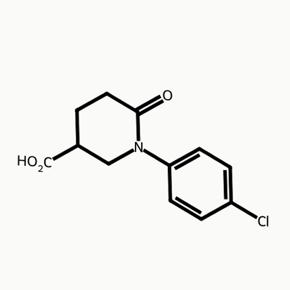 O=C(O)C1CCC(=O)N(c2ccc(Cl)cc2)C1